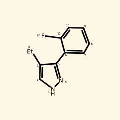 CCc1c[nH]nc1-c1ccccc1F